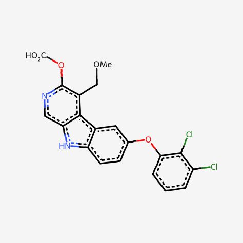 COCc1c(OC(=O)O)ncc2[nH]c3ccc(Oc4cccc(Cl)c4Cl)cc3c12